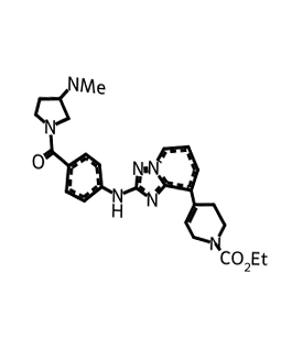 CCOC(=O)N1CC=C(c2cccn3nc(Nc4ccc(C(=O)N5CCC(NC)C5)cc4)nc23)CC1